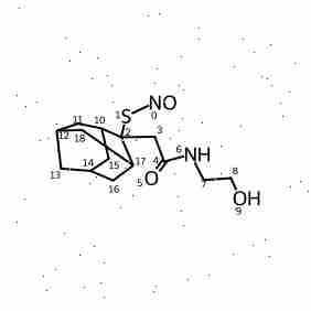 O=NSC1(CC(=O)NCCO)C2CC3CC(C2)CC1C3